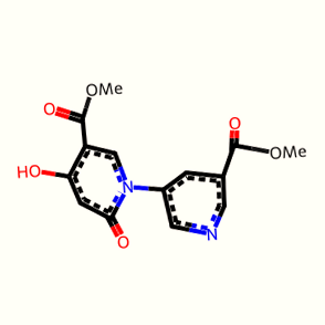 COC(=O)c1cncc(-n2cc(C(=O)OC)c(O)cc2=O)c1